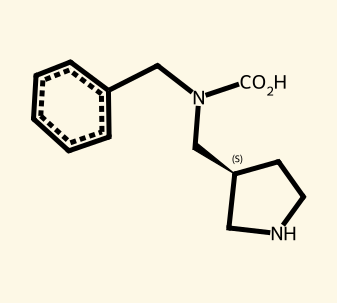 O=C(O)N(Cc1ccccc1)C[C@H]1CCNC1